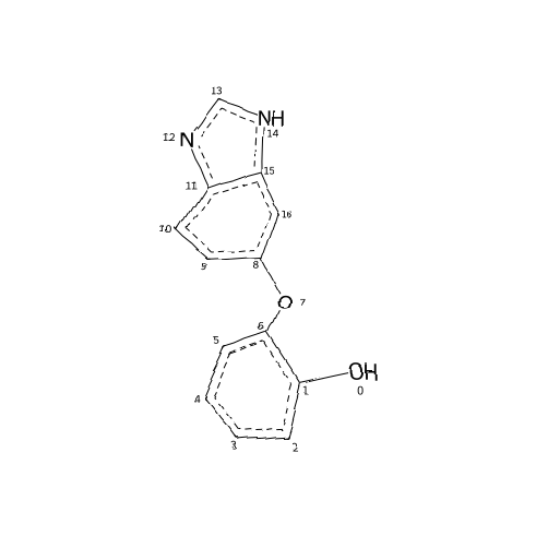 Oc1ccccc1Oc1ccc2nc[nH]c2c1